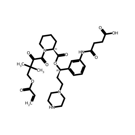 C=CC(=O)OCC(C)(C)C(=O)C(=O)N1CCCC[C@H]1C(=O)O[C@H](CCN1CCNCC1)c1cccc(NC(=O)CCC(=O)O)c1